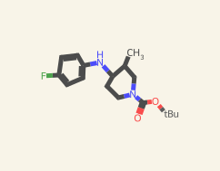 CC1CN(C(=O)OC(C)(C)C)CCC1Nc1ccc(F)cc1